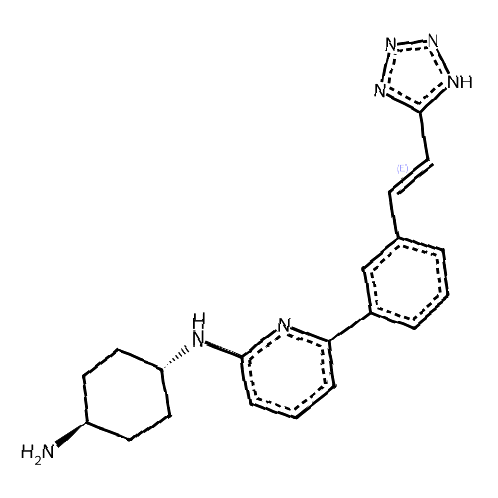 N[C@H]1CC[C@H](Nc2cccc(-c3cccc(/C=C/c4nnn[nH]4)c3)n2)CC1